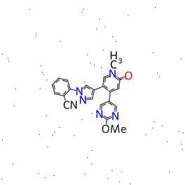 COc1ncc(-c2cc(=O)n(C)cc2-c2cnn(-c3ccccc3C#N)c2)cn1